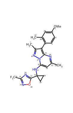 COc1ccc(-c2c(C)nn3c(NC4(c5nc(C(F)(F)F)no5)CC4)cc(C)nc23)c(C)c1